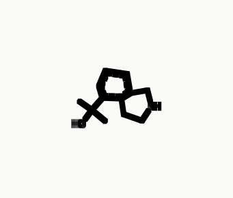 CC(C)(O)c1cccc2c1CCNC2